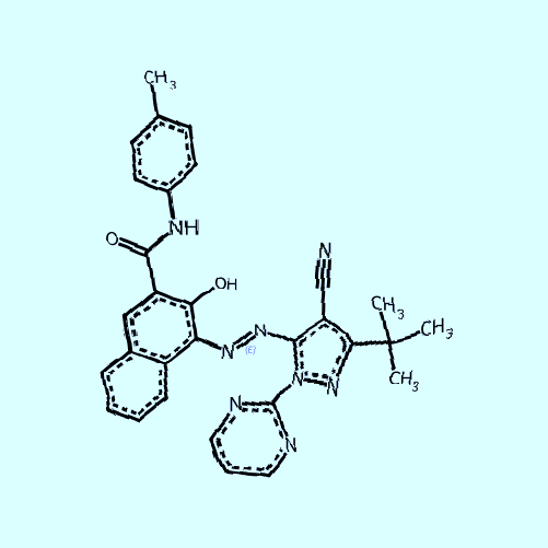 Cc1ccc(NC(=O)c2cc3ccccc3c(/N=N/c3c(C#N)c(C(C)(C)C)nn3-c3ncccn3)c2O)cc1